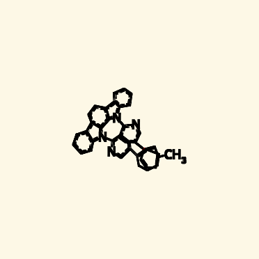 CC1C=C(c2ccc(-n3c4ccccc4c4ccc5c6ccccc6n(-c6ccc(C7=CC=CCC7)cn6)c5c43)nc2)C=CC1